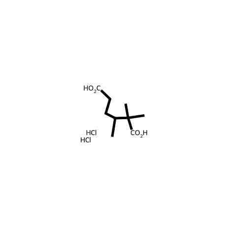 CC(CCC(=O)O)C(C)(C)C(=O)O.Cl.Cl